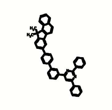 CC1(C)c2ccc(-c3ccc(-c4cccc(-c5cc(-c6ccccc6)nc(-c6ccccc6)n5)c4)cc3)cc2-c2ccc3ccccc3c21